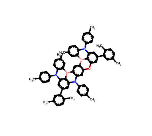 Cc1ccc(N2c3ccc(C)cc3B3c4cc5c(cc4Oc4cc(-c6cc(C)ccc6C)cc2c43)N(c2ccc(C)cc2)c2cc(-c3cc(C)ccc3C)cc3c2B5c2cc(C)ccc2N3c2ccc(C)cc2)cc1